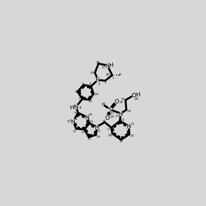 C[C@@H]1CN(c2ccc(Nc3ncc4ccn(Cc5cccnc5N(CCO)S(C)(=O)=O)c4n3)cc2)CCN1